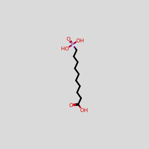 O=C(O)CCCCCCCCCP(=O)(O)O